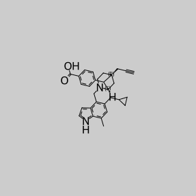 C#CC[C@@]12CCN(Cc3c(CC4CC4)cc(C)c4[nH]ccc34)[C@@H](C1)C2c1ccc(C(=O)O)cc1